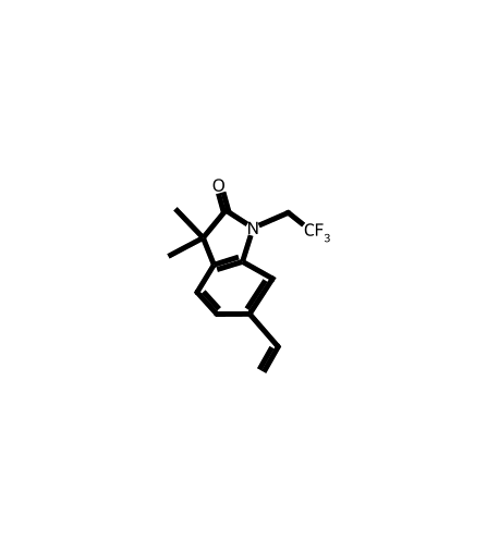 C=Cc1ccc2c(c1)N(CC(F)(F)F)C(=O)C2(C)C